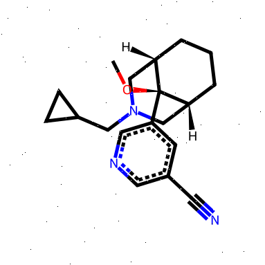 CO[C@]1(c2cncc(C#N)c2)[C@@H]2CCC[C@H]1CN(CC1CC1)C2